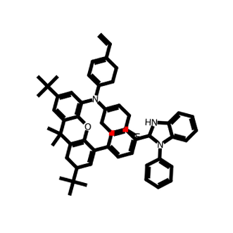 C=CC1=CC=C(N(C2=CCC(F)CC2)c2cc(C(C)(C)C)cc3c2OC2=C(CC(C(C)(C)C)C=C2c2ccc(C4Nc5ccccc5N4c4ccccc4)cc2)C3(C)C)CC1